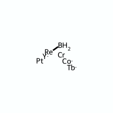 [BH2][Re].[Co].[Cr].[Pt].[Tb].[Y]